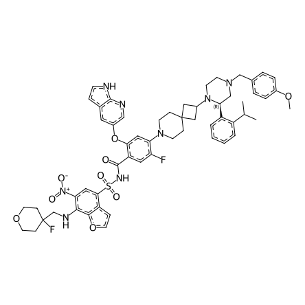 COc1ccc(CN2CCN(C3CC4(CCN(c5cc(Oc6cnc7[nH]ccc7c6)c(C(=O)NS(=O)(=O)c6cc([N+](=O)[O-])c(NCC7(F)CCOCC7)c7occc67)cc5F)CC4)C3)[C@H](c3ccccc3C(C)C)C2)cc1